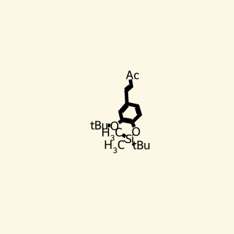 CC(=O)C=Cc1ccc(O[Si](C)(C)C(C)(C)C)c(OC(C)(C)C)c1